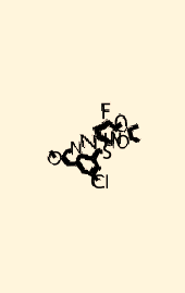 COc1cnc2c(-c3nc4cc(F)c(OC(C)C(C)O)nc4s3)cc(Cl)cc2c1